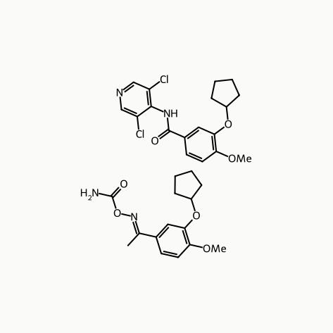 COc1ccc(/C(C)=N/OC(N)=O)cc1OC1CCCC1.COc1ccc(C(=O)Nc2c(Cl)cncc2Cl)cc1OC1CCCC1